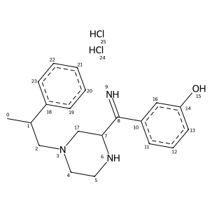 CC(CN1CCNC(C(=N)c2cccc(O)c2)C1)c1ccccc1.Cl.Cl